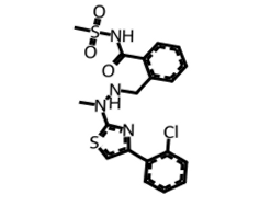 CN(NCc1ccccc1C(=O)NS(C)(=O)=O)c1nc(-c2ccccc2Cl)cs1